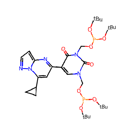 CC(C)(C)OP(OCn1cc(-c2cc(C3CC3)n3nccc3n2)c(=O)n(COP(OC(C)(C)C)OC(C)(C)C)c1=O)OC(C)(C)C